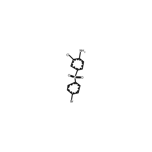 Nc1ccc(S(=O)(=O)c2ccc(Br)cc2)cc1Cl